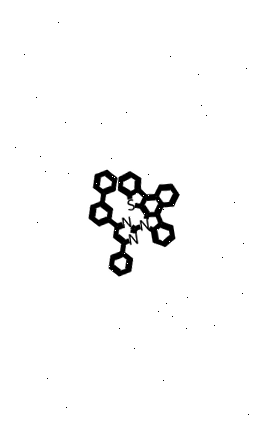 c1ccc(-c2cccc(-c3cc(-c4ccccc4)nc(-n4c5ccccc5c5c6ccccc6c6c7ccccc7sc6c54)n3)c2)cc1